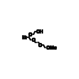 CCC(COCCOCCOC)OCCO